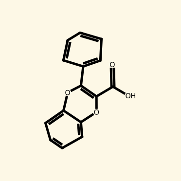 O=C(O)C1=C(c2ccccc2)Oc2ccccc2O1